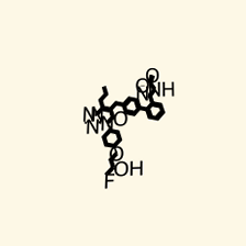 CCCc1c(Cc2ccc(-c3ccccc3-c3noc(=O)[nH]3)cc2)c(=O)n([C@H]2CC[C@H](OCC(O)CF)CC2)c2ncnn12